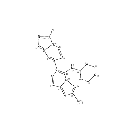 Cc1nnc2cc(-c3ccc4nc(N)nn4c3NC3CCOCC3)ccn12